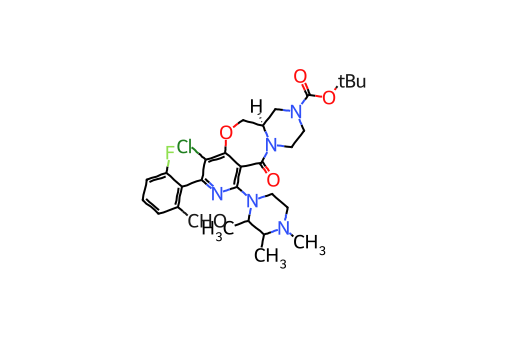 CC1C(C)N(c2nc(-c3c(F)cccc3C=O)c(Cl)c3c2C(=O)N2CCN(C(=O)OC(C)(C)C)C[C@@H]2CO3)CCN1C